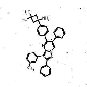 CC1(O)CC(N)(c2ccc(-c3nc4c(-c5cccc(N)c5)c(-c5ccccc5)nn4cc3-c3ccccc3)cc2)C1